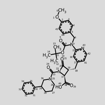 COc1ccc(CN(C(=O)OC(C)(C)C)c2cc(C[C@H]3C(=O)N(C(=O)N4CCCC(c5ccccc5)C4)[C@@H]3C(=O)O)ccn2)cc1